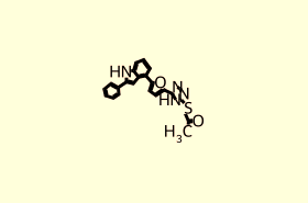 CC(=O)CSc1nnc(-c2ccc(-c3cccc4[nH]c(-c5ccccc5)cc34)o2)[nH]1